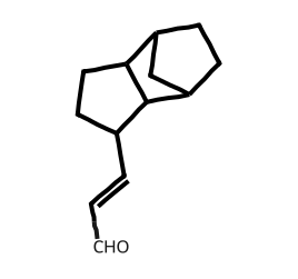 O=CC=CC1CCC2C3CCC(C3)C12